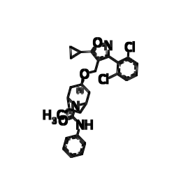 C[C@@H]1CC2C[C@H](OCc3c(-c4c(Cl)cccc4Cl)noc3C3CC3)CC1N2C(=O)Nc1ccccc1